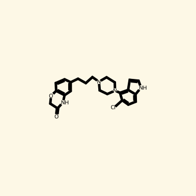 O=C1COc2ccc(CCCN3CCN(c4c(Cl)ccc5[nH]ccc45)CC3)cc2N1